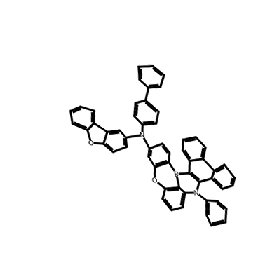 c1ccc(-c2ccc(N(c3ccc4c(c3)Oc3cccc5c3B4c3c(c4ccccc4c4ccccc34)N5c3ccccc3)c3ccc4oc5ccccc5c4c3)cc2)cc1